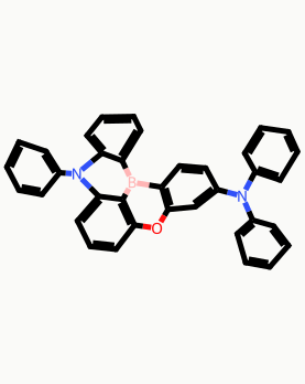 c1ccc(N(c2ccccc2)c2ccc3c(c2)Oc2cccc4c2B3c2ccccc2N4c2ccccc2)cc1